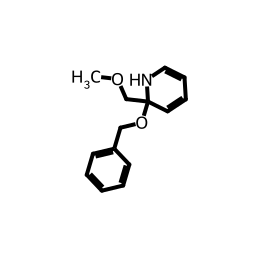 COCC1(OCc2ccccc2)C=CC=CN1